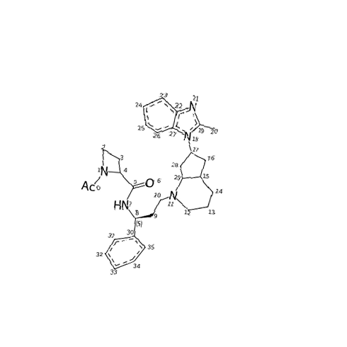 CC(=O)N1CCC1C(=O)N[C@@H](CCN1CCCC2CC(n3c(C)nc4ccccc43)CC21)c1ccccc1